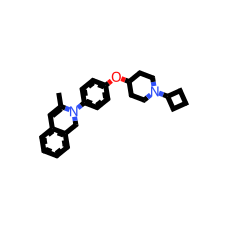 CC1=Cc2ccccc2CN1c1ccc(OC2CCN(C3CCC3)CC2)cc1